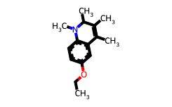 CCOc1ccc2c(c1)C(C)=C(C)C(C)N2C